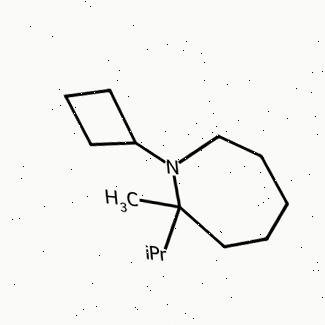 CC(C)C1(C)CCCCCN1C1CCC1